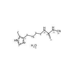 Cc1[nH]cnc1CSCCNC(=S)NC#N.O